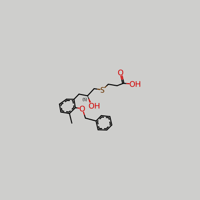 Cc1cccc(C[C@H](O)CSCCC(=O)O)c1OCc1ccccc1